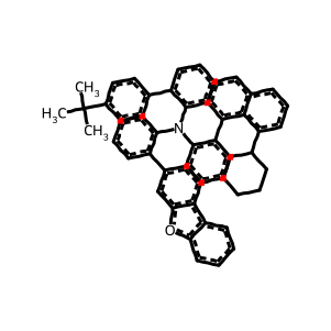 CC(C)(C)c1ccc(-c2ccccc2N(c2ccccc2-c2ccc3c(c2)oc2ccccc23)c2ccccc2-c2cccc3cccc(C4CCCCC4)c23)cc1